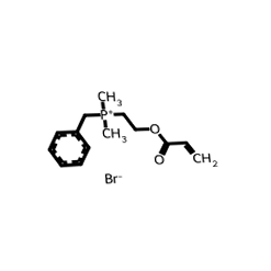 C=CC(=O)OCC[P+](C)(C)Cc1ccccc1.[Br-]